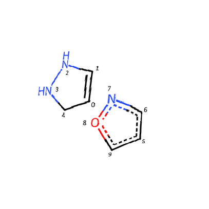 C1=CNNC1.c1cnoc1